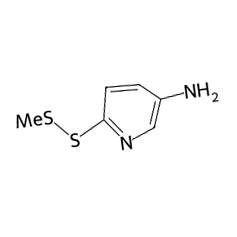 CSSc1ccc(N)cn1